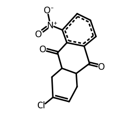 O=C1c2cccc([N+](=O)[O-])c2C(=O)C2CC(Cl)=CCC12